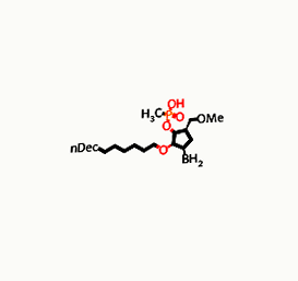 B[C@@H]1C[C@H](COC)C(OP(C)(=O)O)[C@@H]1OCCCCCCCCCCCCCCCC